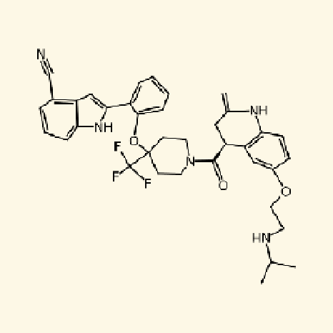 C=C1C[C@H](C(=O)N2CCC(Oc3ccccc3-c3cc4c(C#N)cccc4[nH]3)(C(F)(F)F)CC2)c2cc(OCCNC(C)C)ccc2N1